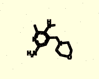 CBc1c(CN2CCOCC2)cc(N)nc1C